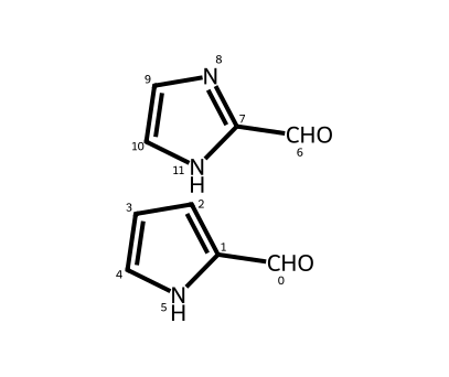 O=Cc1ccc[nH]1.O=Cc1ncc[nH]1